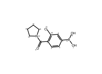 O=C(c1ccc(B(O)O)cc1Cl)N1CCCC1